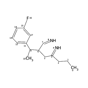 CCCC(=N)CC(C=N)C(C)c1cccc(F)c1